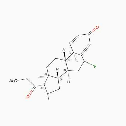 CC(=O)OCC(=O)[C@H]1C(C)C[C@H]2[C@@H]3CC(F)C4=CC(=O)C=C[C@]4(C)[C@H]3CC[C@]12C